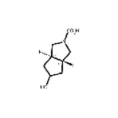 O=C(O)N1C[C@@H]2CC(O)C[C@H]2C1